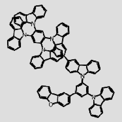 c1ccc2c(c1)oc1ccc(-c3cc(-n4c5ccccc5c5ccccc54)cc(-n4c5ccccc5c5cc(-c6ccc7c(c6)c6ccccc6n7-c6cc(-n7c8ccccc8c8ccccc87)c(-n7c8ccccc8c8ccccc87)cc6-n6c7ccccc7c7ccccc76)ccc54)c3)cc12